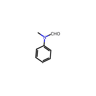 CN(C=O)c1cc[c]cc1